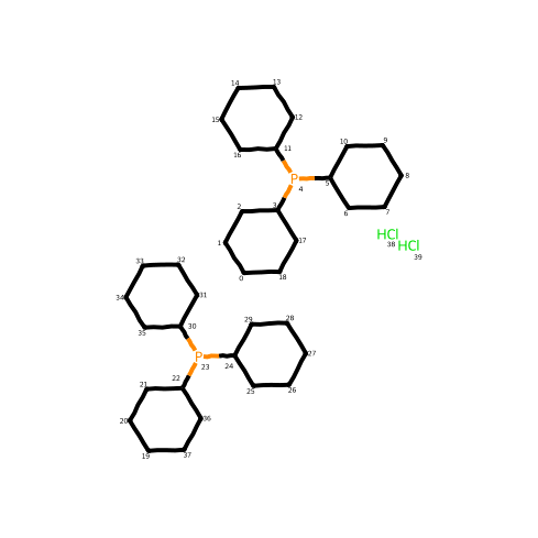 C1CCC(P(C2CCCCC2)C2CCCCC2)CC1.C1CCC(P(C2CCCCC2)C2CCCCC2)CC1.Cl.Cl